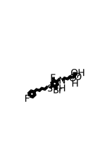 O=[PH](O)OCCCNCc1cc(Br)c(SCCCCCc2ccc(F)cc2)cc1F